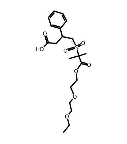 CCOCCOCCOC(=O)C(C)(C)S(=O)(=O)CC(CC(=O)O)c1ccccc1